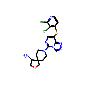 N[C@@H]1COCC12CCN(c1ncc(Sc3ccnc(Cl)c3Cl)c3nncn13)CC2